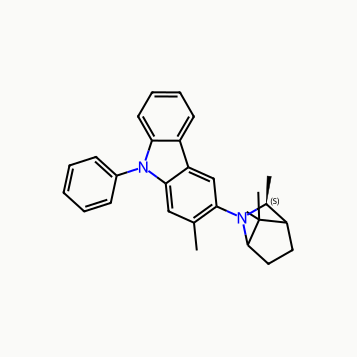 Cc1cc2c(cc1N1C3CCC([C@@H]1C)C3(C)C)c1ccccc1n2-c1ccccc1